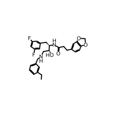 CCc1cccc(CNC[C@H](O)[C@@H](Cc2cc(F)cc(F)c2)NC(=O)CCc2ccc3c(c2)OCO3)c1